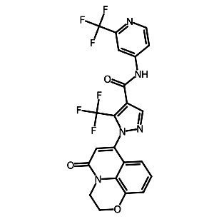 O=C(Nc1ccnc(C(F)(F)F)c1)c1cnn(-c2cc(=O)n3c4c(cccc24)OCC3)c1C(F)(F)F